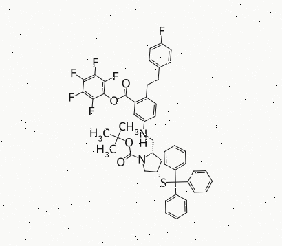 CC(C)(C)OC(=O)N1C[C@@H](SC(c2ccccc2)(c2ccccc2)c2ccccc2)C[C@H]1CNc1ccc(CCc2ccc(F)cc2)c(C(=O)Oc2c(F)c(F)c(F)c(F)c2F)c1